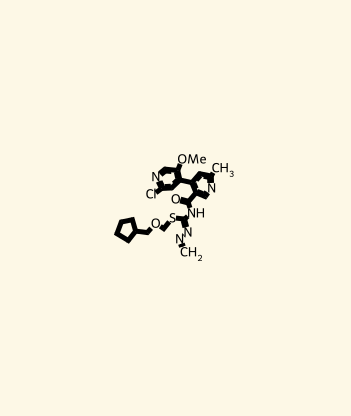 C=N/N=C(/NC(=O)c1cnc(C)cc1-c1cc(Cl)ncc1OC)SCOCC1CCCC1